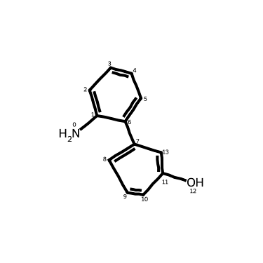 Nc1ccccc1-c1cccc(O)c1